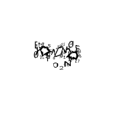 CCC(=O)c1ccc(N2CCN(C(=O)c3cc([N+](=O)[O-])ccc3F)CC2)c(F)c1